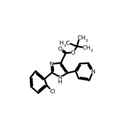 CC(C)(C)OC(=O)c1nc(-c2ccccc2Cl)[nH]c1-c1ccncc1